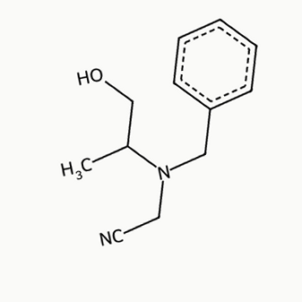 CC(CO)N(CC#N)Cc1ccccc1